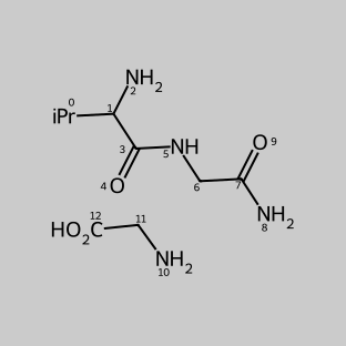 CC(C)C(N)C(=O)NCC(N)=O.NCC(=O)O